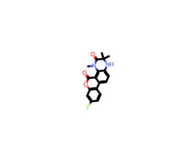 CN1C(=O)C(C)(C)Nc2ccc3c(c21)c(=O)oc1cc(F)ccc13